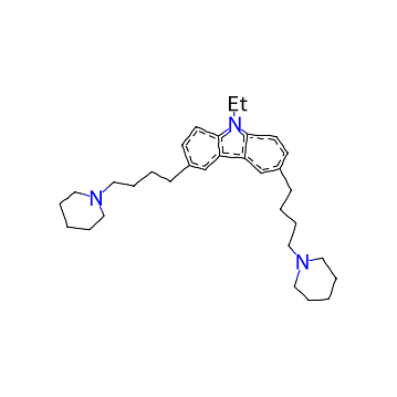 CCn1c2ccc(CCCCN3CCCCC3)cc2c2cc(CCCCN3CCCCC3)ccc21